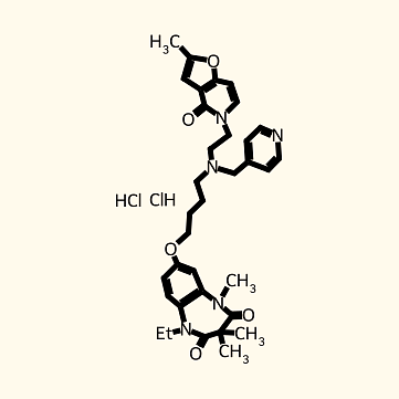 CCN1C(=O)C(C)(C)C(=O)N(C)c2cc(OCCCCN(CCn3ccc4oc(C)cc4c3=O)Cc3ccncc3)ccc21.Cl.Cl